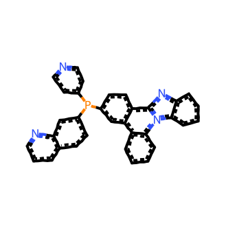 c1cnc2cc(P(c3ccncc3)c3ccc4c(c3)c3ccccc3n3c5ccccc5nc43)ccc2c1